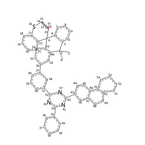 CC1(C)c2ccccc2C2(c3ccccc3Sc3ccccc32)c2ccc(-c3cccc(-c4nc(-c5ccccc5)nc(-c5ccc6c(ccc7ccccc76)c5)n4)c3)cc21